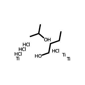 CC(C)O.CCCCO.Cl.Cl.Cl.Cl.[Ti].[Ti].[Ti]